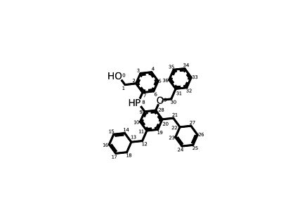 OCc1ccccc1Pc1cc(CC2C=CC=CC2)cc(CC2C=CC=CC2)c1OCc1ccccc1